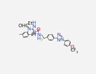 CCN/C(=N\C(=O)NCC(F)c1ccc(-c2ncn(-c3ccc(OC(F)(F)F)cc3)n2)cc1)N(C=O)c1cc(C)ccc1C(C)C